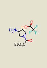 CCOC(=O)C(=O)N1CCC(N)C1.O=C(O)C(F)(F)F